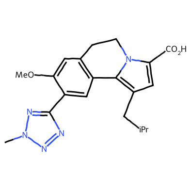 COc1cc2c(cc1-c1nnn(C)n1)-c1c(CC(C)C)cc(C(=O)O)n1CC2